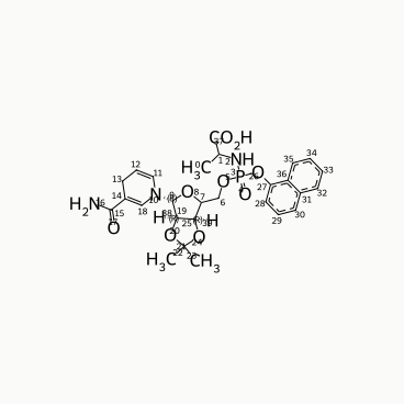 CC(NP(=O)(OCC1O[C@@H](N2C=CCC(C(N)=O)=C2)[C@@H]2OC(C)(C)O[C@H]12)Oc1cccc2ccccc12)C(=O)O